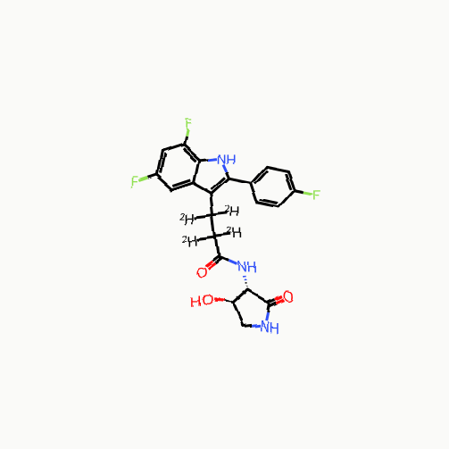 [2H]C([2H])(C(=O)N[C@@H]1C(=O)NC[C@H]1O)C([2H])([2H])c1c(-c2ccc(F)cc2)[nH]c2c(F)cc(F)cc12